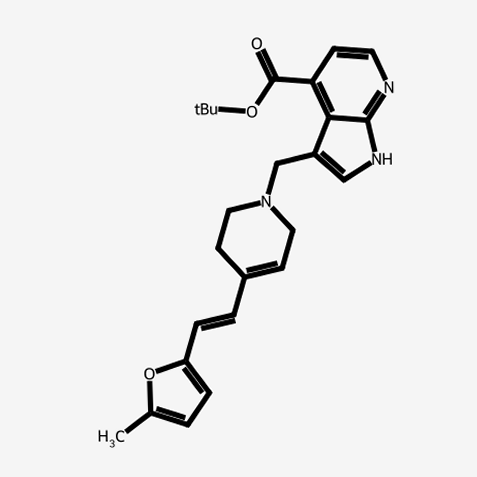 Cc1ccc(C=CC2=CCN(Cc3c[nH]c4nccc(C(=O)OC(C)(C)C)c34)CC2)o1